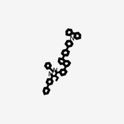 CCC1C(c2ccc(-c3ccccc3)cc2)=NC(c2ccccc2)=NC1c1cccc(-c2cccc3c(-c4ccc(-c5ccc(-n6c7ccccc7c7ccccc76)cc5)cc4)cccc23)c1